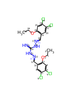 CCOc1cc(Cl)c(Cl)cc1/C=N/NC(=N)N/N=C/c1cc(Cl)c(Cl)cc1OCC